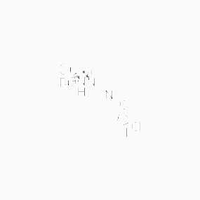 O=C(NS(=O)(=O)c1ccccc1Br)N1CCC(N2CCC(Oc3ccc(Cl)c(Cl)c3)CC2)CC1